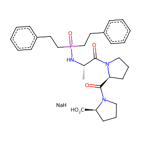 C[C@H](NP(=O)(CCc1ccccc1)CCc1ccccc1)C(=O)N1CCC[C@H]1C(=O)N1CCC[C@H]1C(=O)O.[NaH]